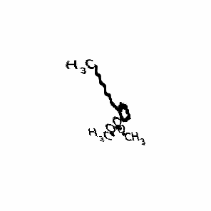 CCCCCCCCCc1ccccc1OC(OCC)OCC